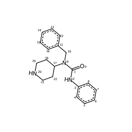 O=C(Nc1ccccc1)N(Cc1ccccc1)C1CCNCC1